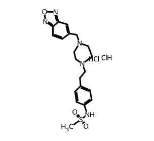 CS(=O)(=O)Nc1ccc(CCN2CCN(Cc3ccc4nonc4c3)CC2)cc1.Cl.Cl